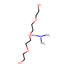 CN(C)C=O.OCCOCCOCCOCCO